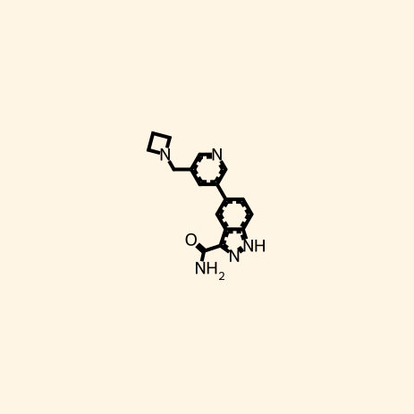 NC(=O)c1n[nH]c2ccc(-c3cncc(CN4CCC4)c3)cc12